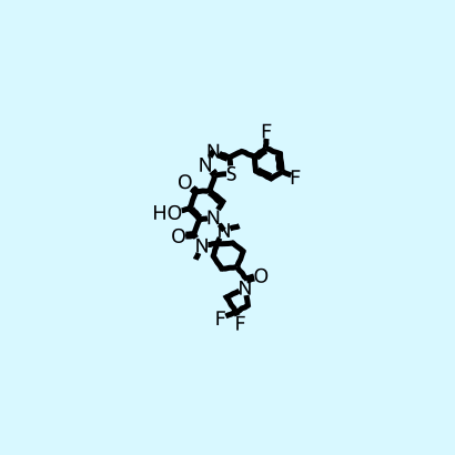 CN1C(=O)c2c(O)c(=O)c(-c3nnc(Cc4ccc(F)cc4F)s3)cn2N(C)C12CCC(C(=O)N1CC(F)(F)C1)CC2